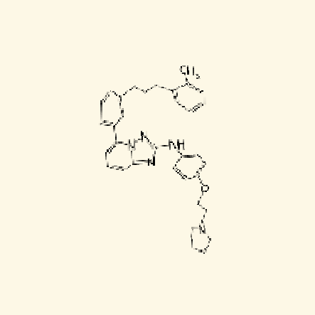 Cc1ccccc1CCCc1cccc(-c2cccc3nc(Nc4ccc(OCCN5CCCC5)cc4)nn23)c1